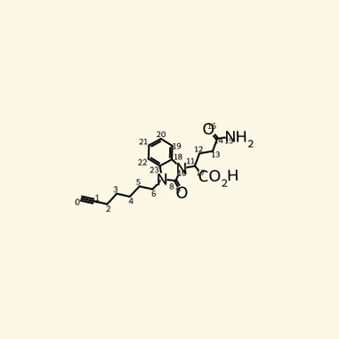 C#CCCCCCn1c(=O)n(C(CCC(N)=O)C(=O)O)c2ccccc21